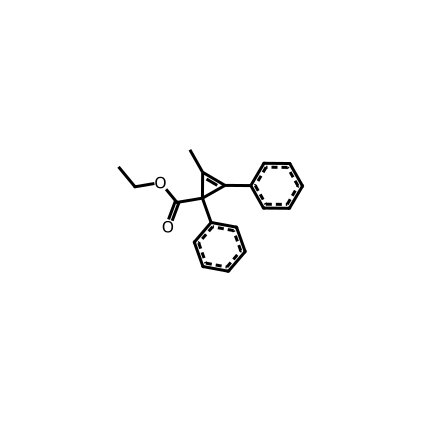 CCOC(=O)C1(c2ccccc2)C(C)=C1c1ccccc1